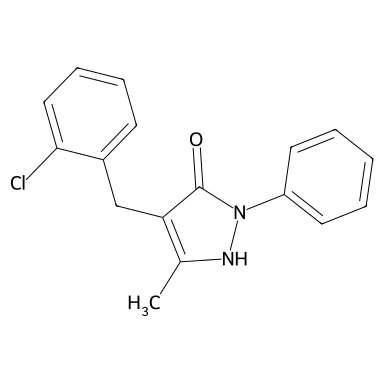 Cc1[nH]n(-c2ccccc2)c(=O)c1Cc1ccccc1Cl